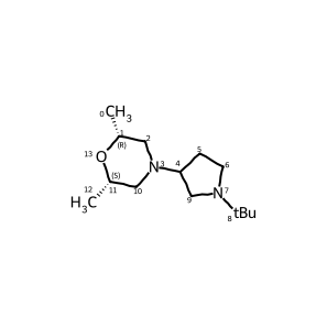 C[C@@H]1CN(C2CCN(C(C)(C)C)C2)C[C@H](C)O1